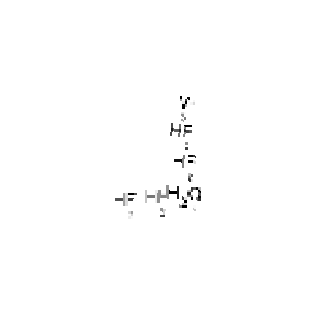 F.F.F.F.O.[V]